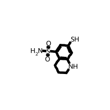 NS(=O)(=O)c1cc(S)cc2c1CCCN2